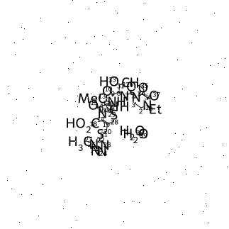 CCN1CCN(C(=O)N[C@@H](C(=O)N[C@]2(OC)C(=O)N3C(C(=O)O)=C(CSc4nnnn4C)CS[C@@H]32)[C@H](C)O)C(=O)C1=O.O.O